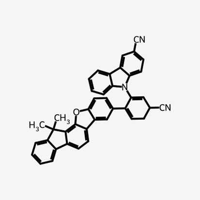 CC1(C)c2ccccc2-c2ccc3c(oc4ccc(C5=CCC(C#N)C=C5n5c6ccccc6c6cc(C#N)ccc65)cc43)c21